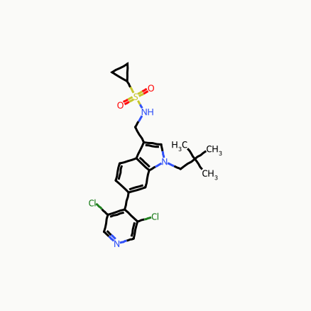 CC(C)(C)Cn1cc(CNS(=O)(=O)C2CC2)c2ccc(-c3c(Cl)cncc3Cl)cc21